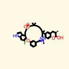 C[C@H](Cc1cccc(C2(C)CCCC(C)(C)CS(=O)(=O)CCc3c(c(F)cc4[nH]ccc34)Oc3cccc(c3)-c3nc2nn3C)c1)C(=O)O